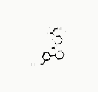 C=Cc1cccc(C2CCCCN2C(=O)[C@@H]2CCCN(C(=O)[C@H](C)N)N2)c1